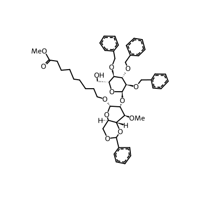 COC(=O)CCCCCCCCO[C@H]1O[C@@H]2COC(c3ccccc3)O[C@H]2[C@H](OC)[C@H]1O[C@H]1O[C@H](CO)[C@@H](OCc2ccccc2)[C@H](OCc2ccccc2)[C@H]1OCc1ccccc1